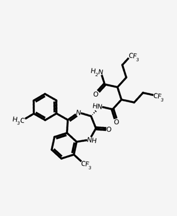 Cc1cccc(C2=N[C@H](NC(=O)C(CCC(F)(F)F)C(CCC(F)(F)F)C(N)=O)C(=O)Nc3c2cccc3C(F)(F)F)c1